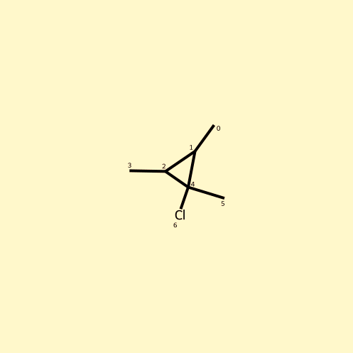 CC1C(C)C1(C)Cl